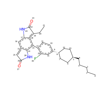 CCCCC[C@H]1CC[C@H](c2ccc(-c3c4c(cc5c3=C(CC)C(=O)N5)=CC(=O)N4)c(F)c2)CC1